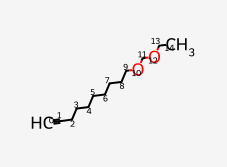 C#CCCCCCCCCOCOCC